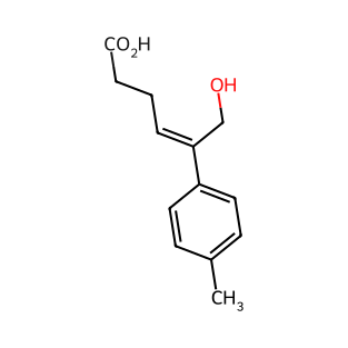 Cc1ccc(/C(=C/CCC(=O)O)CO)cc1